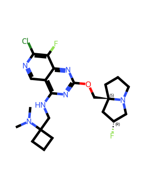 CN(C)C1(CNc2nc(OC[C@@]34CCCN3C[C@H](F)C4)nc3c(F)c(Cl)ncc23)CCC1